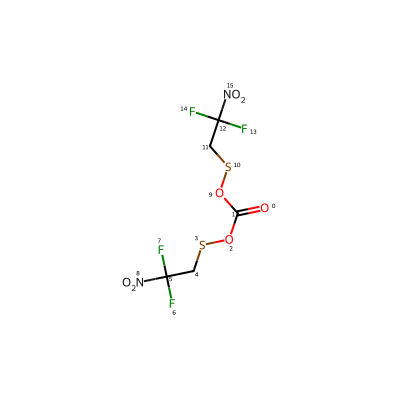 O=C(OSCC(F)(F)[N+](=O)[O-])OSCC(F)(F)[N+](=O)[O-]